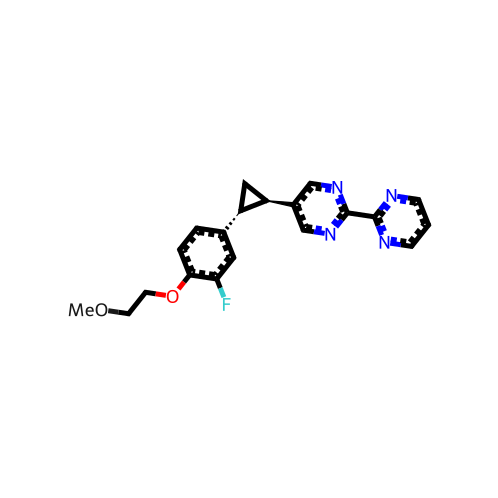 COCCOc1ccc([C@@H]2C[C@H]2c2cnc(-c3ncccn3)nc2)cc1F